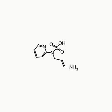 NC=CCN(c1ccccn1)S(=O)(=O)O